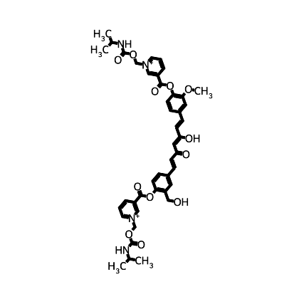 COc1cc(/C=C/C(O)=C/C(=O)/C=C/c2ccc(OC(=O)c3ccc[n+](COC(=O)NC(C)C)c3)c(CO)c2)ccc1OC(=O)c1ccc[n+](COC(=O)NC(C)C)c1